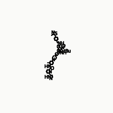 Cc1cc(N2CCC(OCC(=O)N[C@H](C(=O)N3CCC[C@H]3C(=O)NCc3ccc(-c4scnc4C)cc3)C(C)(C)C)CC2)ccc1NC(=O)c1cccc(-c2ccn[nH]2)n1